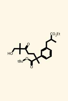 CCOC(=O)C(C)Cc1cccc(C(C)(CCC(=O)C(C)(C)CO)C(=O)OC(C)(C)C)c1